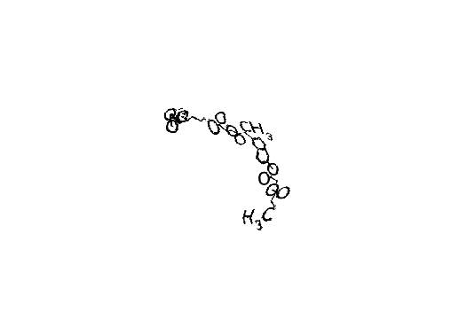 CCCC(=O)OCC(=O)Oc1ccc2cc(C(C)C(=O)OCC(=O)OCCCCO[N+](=O)[O-])ccc2c1